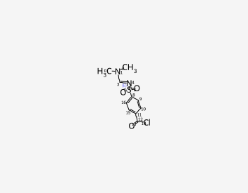 CN(C)/C=N/S(=O)(=O)c1ccc(C(=O)Cl)cc1